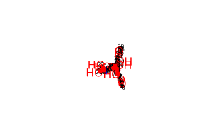 C=COCOCCC(O)COCC(CC)(COCC(O)CN(CCO)CCO)C(O)CC(O)CCOCOC=C